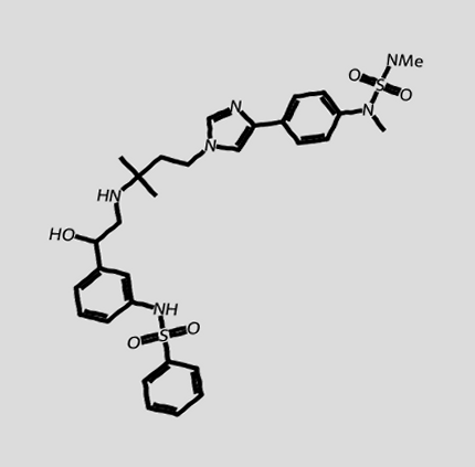 CNS(=O)(=O)N(C)c1ccc(-c2cn(CCC(C)(C)NCC(O)c3cccc(NS(=O)(=O)c4ccccc4)c3)cn2)cc1